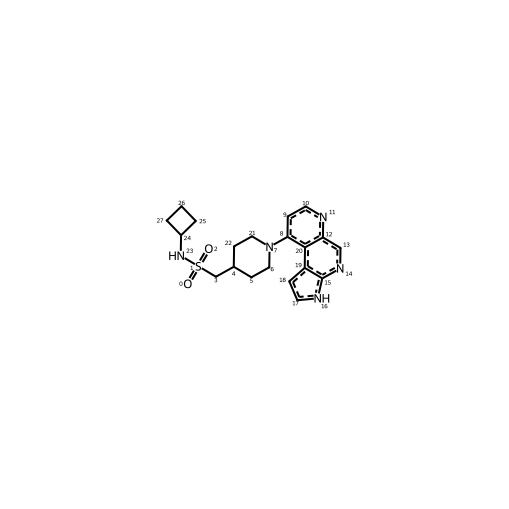 O=S(=O)(CC1CCN(c2ccnc3cnc4[nH]ccc4c23)CC1)NC1CCC1